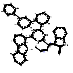 C=c1sc2ccccc2/c1=C(/C=C\C)c1nc(-c2ccccc2-c2cccc(-c3ccccc3)c2)nc(-c2cccc3c2oc2ccccc23)n1